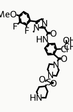 COc1ccc(-c2cnc(C(=O)Nc3ccc(C(=O)N4CCN(S(=O)(=O)C5CCNCC5)CC4)c(Cl)c3)n2C)c(F)c1F.O=CO